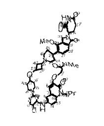 CNC(=O)COc1cc2cc(Nc3nc(N4CCC(OC5CC(N6CCC(c7ccc8c(c7OC)CN([C@@H]7CCC(=O)NC7=O)C8=O)CC6)C5)CC4)ncc3Cl)ccc2n(C(C)C)c1=O